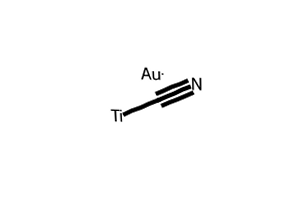 N#[C][Ti].[Au]